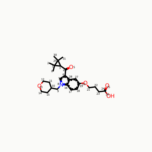 CC1(C)C(C(=O)c2cn(CC3CCOCC3)c3ccc(OCCCC(=O)O)cc23)C1(C)C